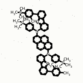 Cc1ccc(-c2cccc3c2oc2c(N(c4ccc([Si](C)(C)C)cc4)c4ccc5ccc6c(N(c7ccc([Si](C)(C)C)cc7)c7cccc8c7oc7c(-c9ccc([Si](C)(C)C)cc9C)cccc78)ccc7ccc4c5c76)cccc23)c(C)c1